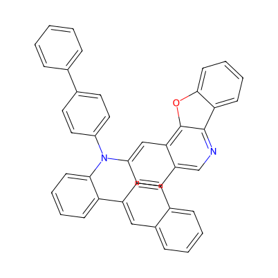 c1ccc(-c2ccc(N(c3ccc4cnc5c6ccccc6oc5c4c3)c3ccccc3-c3ccc4ccccc4c3)cc2)cc1